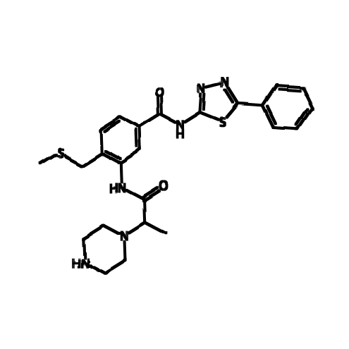 CSCc1ccc(C(=O)Nc2nnc(-c3ccccc3)s2)cc1NC(=O)C(C)N1CCNCC1